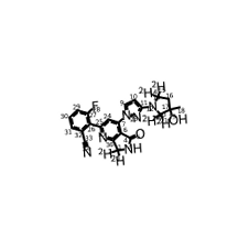 [2H]C1([2H])NC(=O)c2c(-n3ccc(N4C([2H])([2H])CC(C)(O)C4([2H])[2H])n3)cc(-c3c(F)cccc3C#N)nc21